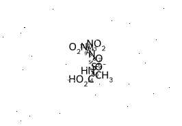 CC(N[S+]([O-])CC(=O)N1CC([N+](=O)[O-])([N+](=O)[O-])C1)C(=O)O